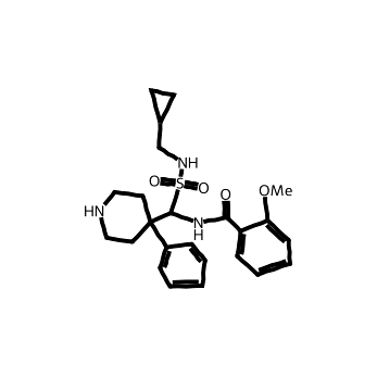 COc1ccccc1C(=O)NC(C1(c2ccccc2)CCNCC1)S(=O)(=O)NCC1CC1